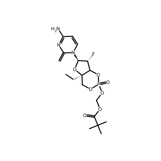 C=C1N=C(N)C=CN1[C@@H]1O[C@]2(CC)COP(=O)(OCOC(=O)C(C)(C)C)OC2[C@H]1F